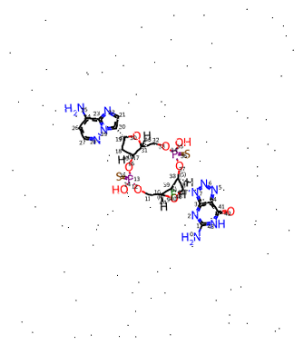 Nc1nc2c(nnn2[C@@H]2O[C@@H]3COP(O)(=S)O[C@H]4C[C@H](c5cnc6c(N)ccnn56)O[C@@H]4COP(O)(=S)O[C@@H]2[C@H]3F)c(=O)[nH]1